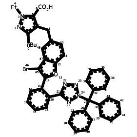 CCCCc1nn(CC)c(C(=O)O)c1Cc1ccc2oc(-c3ccccc3-c3nnn(C(c4ccccc4)(c4ccccc4)c4ccccc4)n3)c(Br)c2c1